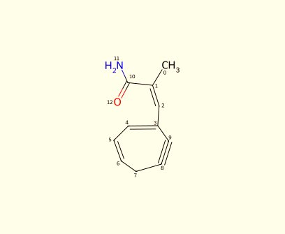 C/C(=C/C1=CC=CCC#C1)C(N)=O